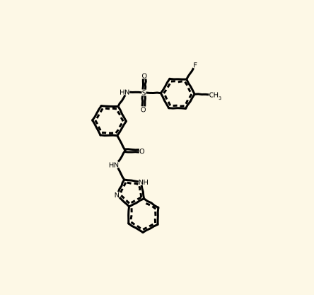 Cc1ccc(S(=O)(=O)Nc2cccc(C(=O)Nc3nc4ccccc4[nH]3)c2)cc1F